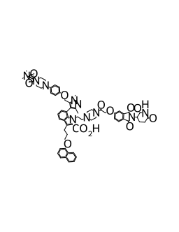 Cc1nn(C)c(COc2ccc(N3CCN(S(=O)(=O)N(C)C)CC3)cc2)c1-c1cccc2c(CCCOc3cccc4ccccc34)c(C(=O)O)n(CCN3CCN(C(=O)COc4ccc5c(c4)C(=O)N(C4CCC(=O)NC4=O)C5=O)CC3)c12